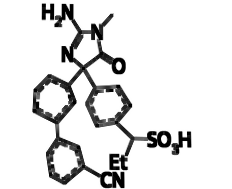 CCC(c1ccc(C2(c3cccc(-c4cccc(C#N)c4)c3)N=C(N)N(C)C2=O)cc1)S(=O)(=O)O